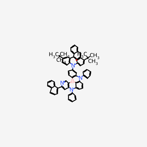 CC(C)(C)c1ccc(N(c2ccc3c(c2)N(c2ccccc2)c2cccc4c2B3c2cnc(-c3cccc5ccccc35)cc2N4c2ccccc2)c2ccc(C(C)(C)C)cc2-c2cccc3ccccc23)cc1